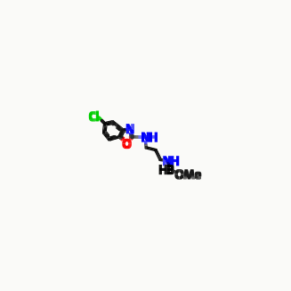 COBNCCCNc1nc2cc(Cl)ccc2o1